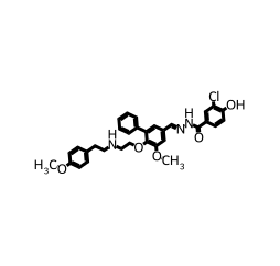 COc1ccc(CCNCCOc2c(OC)cc(/C=N/NC(=O)c3ccc(O)c(Cl)c3)cc2-c2ccccc2)cc1